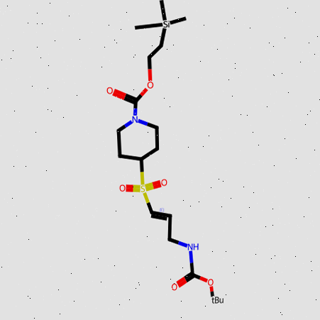 CC(C)(C)OC(=O)NC/C=C/S(=O)(=O)C1CCN(C(=O)OCC[Si](C)(C)C)CC1